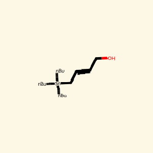 CCC[CH2][Sn]([CH2]/C=C/CO)([CH2]CCC)[CH2]CCC